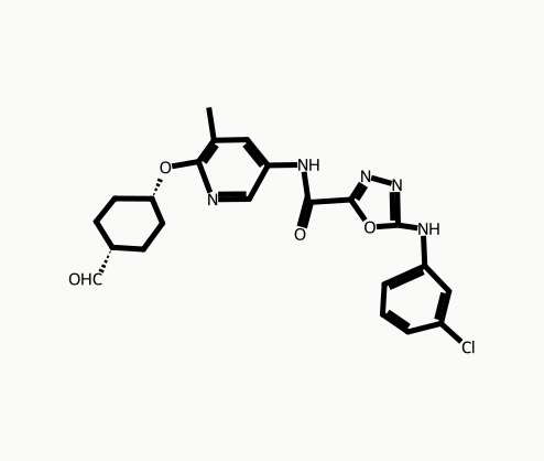 Cc1cc(NC(=O)c2nnc(Nc3cccc(Cl)c3)o2)cnc1O[C@H]1CC[C@@H](C=O)CC1